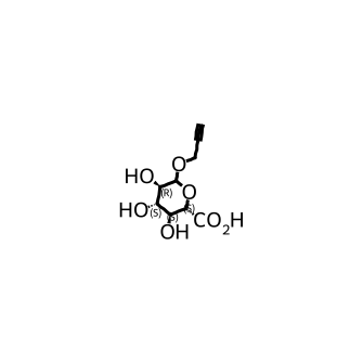 C#CCOC1O[C@H](C(=O)O)[C@@H](O)[C@H](O)[C@H]1O